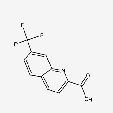 O=C(O)c1ccc2ccc(C(F)(F)F)cc2n1